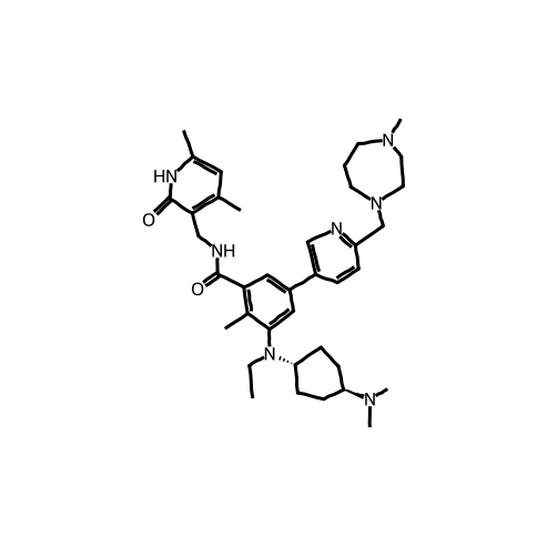 CCN(c1cc(-c2ccc(CN3CCCN(C)CC3)nc2)cc(C(=O)NCc2c(C)cc(C)[nH]c2=O)c1C)[C@H]1CC[C@H](N(C)C)CC1